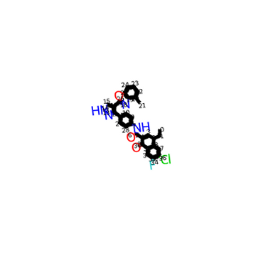 CCC1C=C(C(=O)Nc2ccc(-c3n[nH]cc3-c3nc4c(C)cccc4o3)cc2)C(=O)c2cc(F)c(Cl)cc21